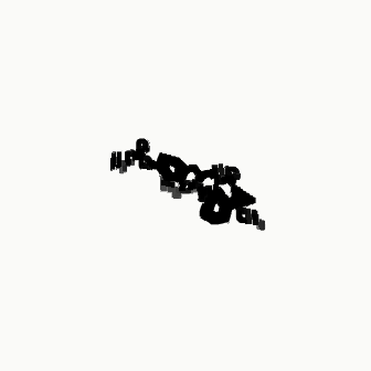 CC(=O)Oc1ccc(C[C@@H](CNC(=O)[C@@H]2C[C@@]2(C)c2ccccc2)N(C)C)cc1